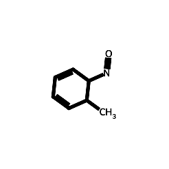 CC1C=CC=CC1N=O